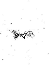 CC(C)N(C(=O)O)C1CCC(c2ncc(-c3ccc(NC(=O)OC(C)(C)C)cc3S(=O)(=O)C(F)(F)F)s2)CC1